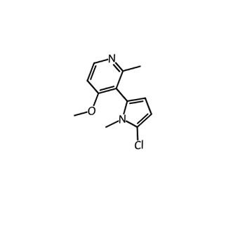 COc1ccnc(C)c1-c1ccc(Cl)n1C